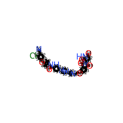 CC1(C)C(NC(=O)c2ccc(N3CCN(C4CN(CCOc5ccc6c(c5)C(=O)N(C5CCC(=O)NC5=O)C6=O)C4)CC3)cc2)C(C)(C)C1Oc1ccc(C#N)c(Cl)c1